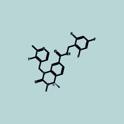 Cc1nccc(CN2C(=O)N(C)[C@@H](C)c3ccc(C(=O)NCc4c(F)cc(F)cc4F)cc32)c1F